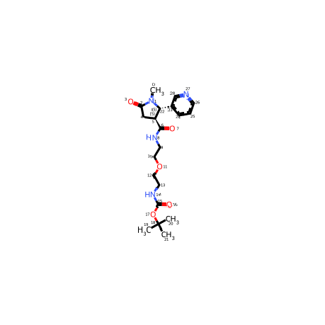 CN1C(=O)C[C@H](C(=O)NCCOCCNC(=O)OC(C)(C)C)[C@H]1c1cccnc1